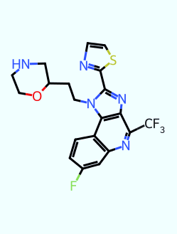 Fc1ccc2c(c1)nc(C(F)(F)F)c1nc(-c3nccs3)n(CCC3CNCCO3)c12